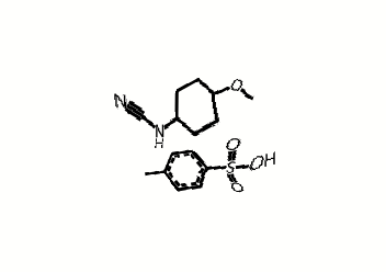 COC1CCC(NC#N)CC1.Cc1ccc(S(=O)(=O)O)cc1